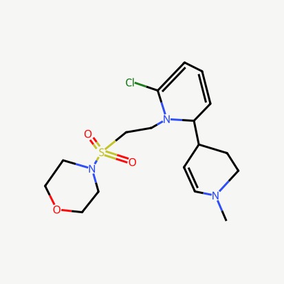 CN1C=CC(C2C=CC=C(Cl)N2CCS(=O)(=O)N2CCOCC2)CC1